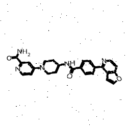 NC(=O)c1cc(N2CCC(NC(=O)c3ccc(-c4nccc5occc45)cc3)CC2)ccn1